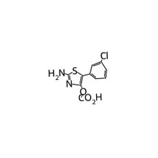 Nc1nc(OC(=O)O)c(-c2cccc(Cl)c2)s1